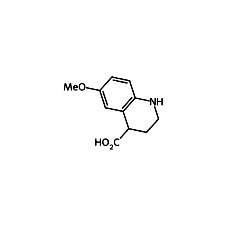 COc1ccc2c(c1)C(C(=O)O)CCN2